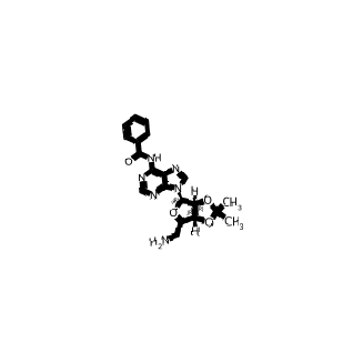 CC1(C)O[C@@H]2[C@H](O1)C(CN)O[C@H]2n1cnc2c(NC(=O)c3ccccc3)ncnc21